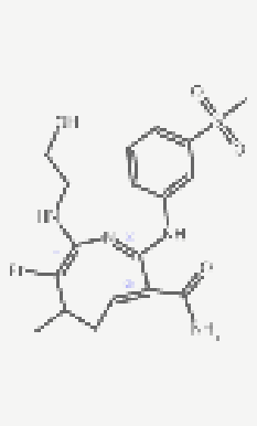 CC/C1=C(NCCO)/N=C(Nc2cccc(S(C)(=O)=O)c2)\C(C(N)=O)=C\CC1C